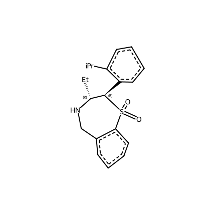 CC[C@H]1NCc2ccccc2S(=O)(=O)[C@@H]1c1ccccc1C(C)C